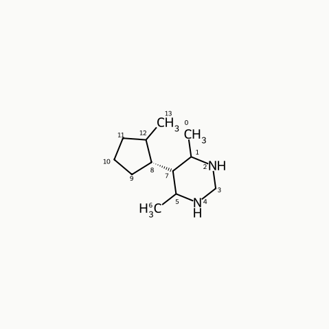 CC1NCNC(C)C1[C@@H]1CCCC1C